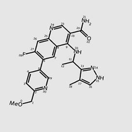 COCc1ccc(-c2cc3c(NC(C)c4n[nH]cc4C)c(C(N)=O)cnc3cc2F)cn1